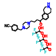 N#Cc1ccc(CN2CCN(CCCC(=O)c3ccc4c(c3)CCNCC4)CC2)cc1.O=C(O)C(F)(F)F.O=C(O)C(F)(F)F.O=C(O)C(F)(F)F